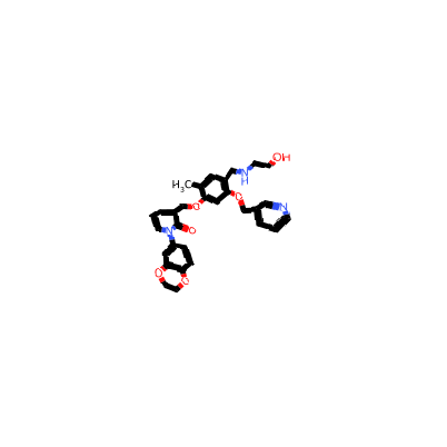 Cc1cc(CNCCO)c(OCc2cccnc2)cc1OCc1cccn(-c2ccc3c(c2)OCCO3)c1=O